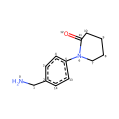 NCc1ccc(N2CCCCC2=O)cc1